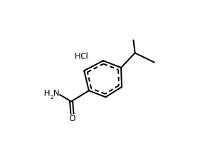 CC(C)c1ccc(C(N)=O)cc1.Cl